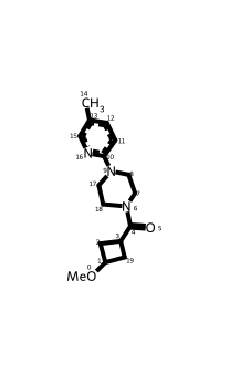 COC1CC(C(=O)N2CCN(c3ccc(C)cn3)CC2)C1